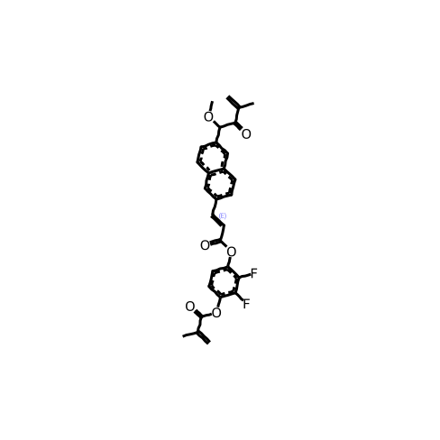 C=C(C)C(=O)Oc1ccc(OC(=O)/C=C/c2ccc3cc(C(OC)C(=O)C(=C)C)ccc3c2)c(F)c1F